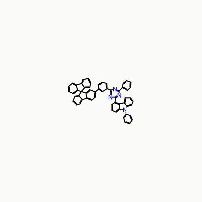 c1ccc(-c2nc(-c3cccc(-c4ccc5c(c4)C4(c6ccccc6-c6ccccc64)c4ccccc4-5)c3)nc(-c3cccc4c3c3ccccc3n4-c3ccccc3)n2)cc1